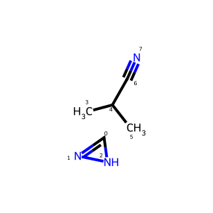 C1=NN1.CC(C)C#N